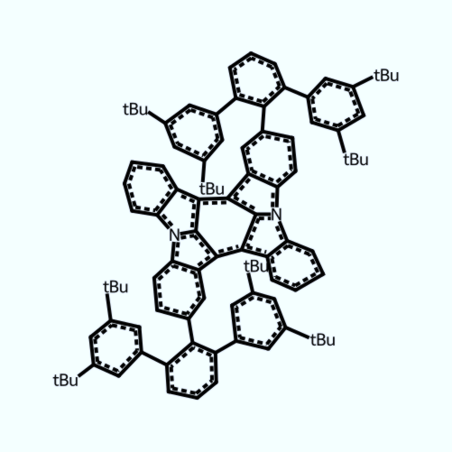 CC(C)(C)c1cc(-c2cccc(-c3cc(C(C)(C)C)cc(C(C)(C)C)c3)c2-c2ccc3c(c2)c2c4c5ccccc5n5c6ccc(-c7c(-c8cc(C(C)(C)C)cc(C(C)(C)C)c8)cccc7-c7cc(C(C)(C)C)cc(C(C)(C)C)c7)cc6c(c6c7ccccc7n3c62)c45)cc(C(C)(C)C)c1